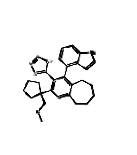 COCC1(c2nc3c(c(-c4cccc5[nH]ccc45)c2-c2nnn[nH]2)CCCCC3)CCCC1